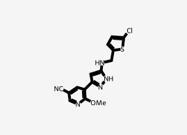 COc1ncc(C#N)cc1-c1cc(NCc2ccc(Cl)s2)[nH]n1